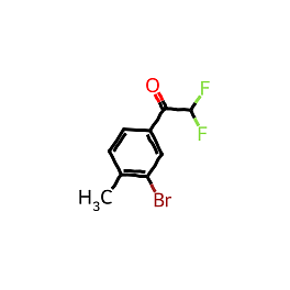 Cc1ccc(C(=O)C(F)F)cc1Br